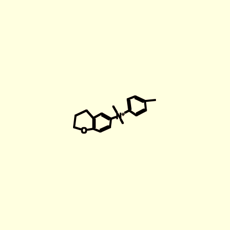 Cc1ccc([N+](C)(C)c2ccc3c(c2)CCCO3)cc1